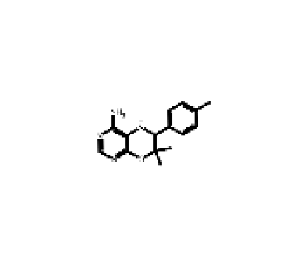 Cc1ccc(C2Nc3c(N)ncnc3OC2(C)C)cc1